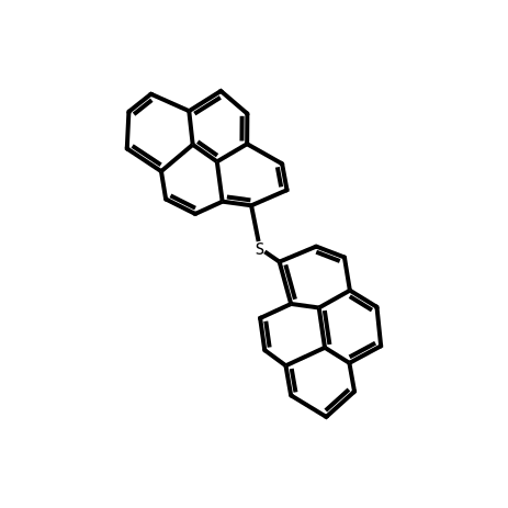 c1cc2ccc3ccc(Sc4ccc5ccc6cccc7ccc4c5c67)c4ccc(c1)c2c34